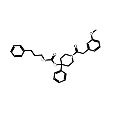 COc1cccc(CC(=O)N2CCC(OC(=O)NCCCc3ccccc3)(c3ccccc3)CC2)c1